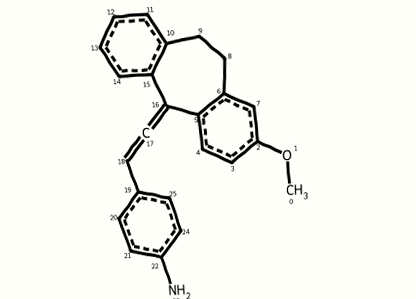 COc1ccc2c(c1)CCc1ccccc1C2=C=Cc1ccc(N)cc1